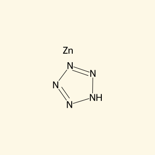 [Zn].n1nn[nH]n1